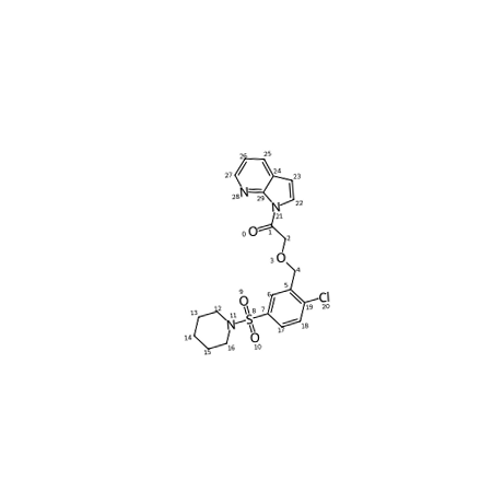 O=C(COCc1cc(S(=O)(=O)N2CCCCC2)ccc1Cl)n1ccc2cccnc21